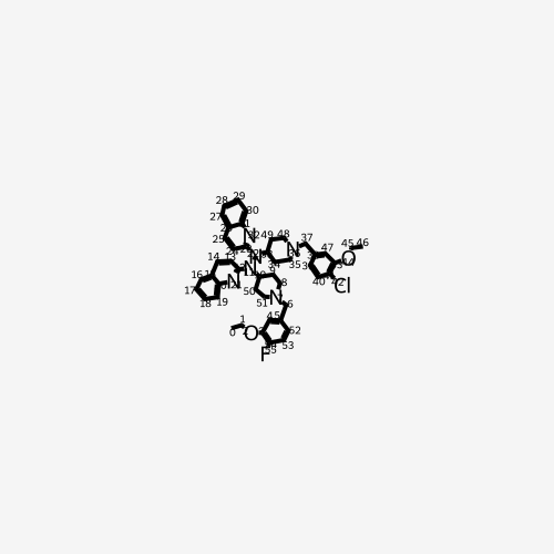 CCOc1cc(CN2CCC(N(c3ccc4ccccc4n3)N(c3ccc4ccccc4n3)C3CCN(Cc4ccc(Cl)c(OCC)c4)CC3)CC2)ccc1F